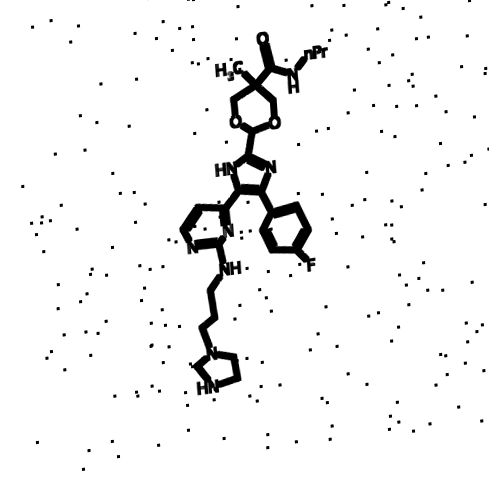 CCCNC(=O)C1(C)COC(c2nc(-c3ccc(F)cc3)c(-c3ccnc(NCCCN4CCNC4)n3)[nH]2)OC1